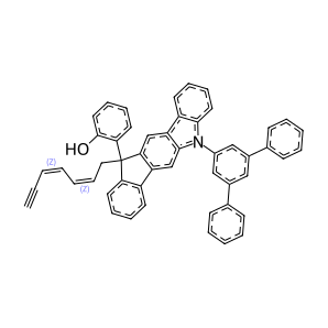 C#C/C=C\C=C/CC1(c2ccccc2O)c2ccccc2-c2cc3c(cc21)c1ccccc1n3-c1cc(-c2ccccc2)cc(-c2ccccc2)c1